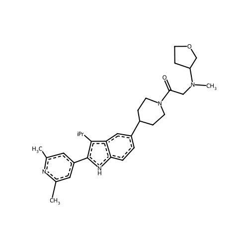 Cc1cc(-c2[nH]c3ccc(C4CCN(C(=O)CN(C)C5CCOC5)CC4)cc3c2C(C)C)cc(C)n1